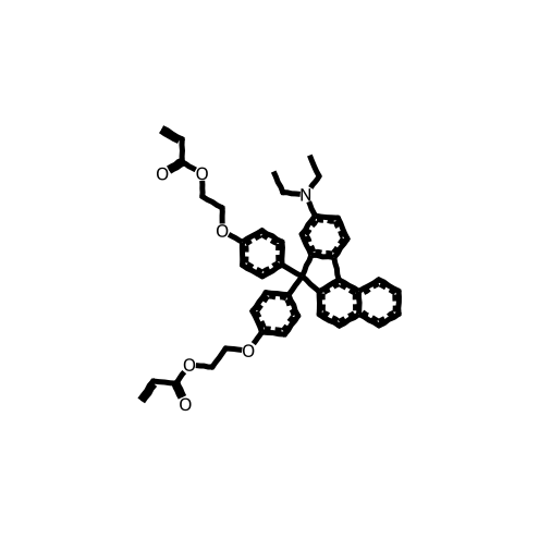 C=CC(=O)OCCOc1ccc(C2(c3ccc(OCCOC(=O)C=C)cc3)c3cc(N(CC)CC)ccc3-c3c2ccc2ccccc32)cc1